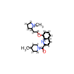 CC1CCN(C(=O)c2ccc3cccc(OCCC4CCCN4C)c3n2)CC1